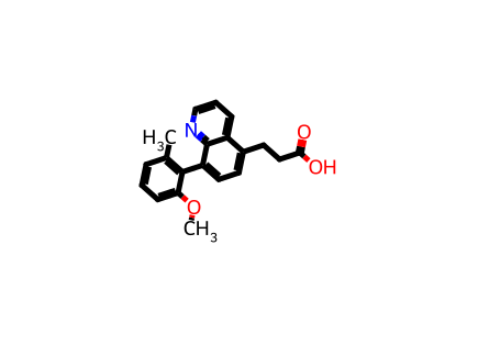 COc1cccc(C)c1-c1ccc(CCC(=O)O)c2cccnc12